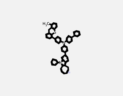 Cc1cccc2c1Cc1cccc(-c3ccc(N(c4ccc(-c5ccccc5)cc4)c4ccc(-c5ccc6c7c(n(-c8ccccc8)c6c5)C=C=C/C=C\C7)cc4)cc3)c1S2